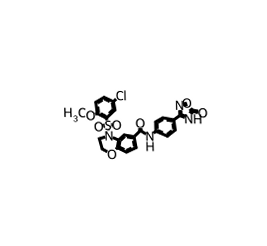 COc1ccc(Cl)cc1S(=O)(=O)N1CCOc2ccc(C(=O)Nc3ccc(-c4noc(=O)[nH]4)cc3)cc21